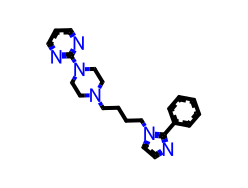 c1ccc(-c2nccn2CCCCN2CCN(c3ncccn3)CC2)cc1